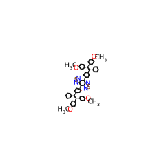 COc1ccc(C(=C(c2ccccc2)c2ccc(-c3c4c(c(-c5ccc(C(=C(c6ccc(OC)cc6)c6ccc(OC)cc6)c6ccccc6)cc5)c5nsnc35)N=S=N4)cc2)c2ccc(OC)cc2)cc1